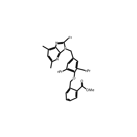 CCCc1cc(Cn2c(CC)nc3c(C)cc(C)nc32)cc(CCC)c1OCc1ccccc1C(=O)OC